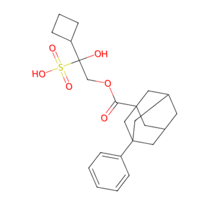 O=C(OCC(O)(C1CCC1)S(=O)(=O)O)C12CC3CC(C1)CC(c1ccccc1)(C3)C2